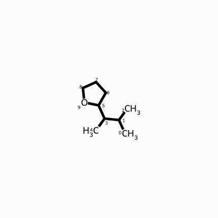 CC(C)C(C)C1CCCO1